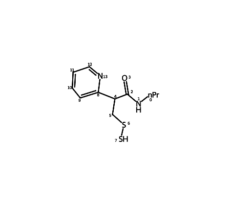 CCCNC(=O)C(CSS)c1ccccn1